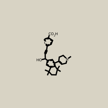 CN1CC=C(c2cc(C(O)C#Cc3ccc(C(=O)O)cc3)cc3c2C(C)(C)CCC3(C)C)CC1